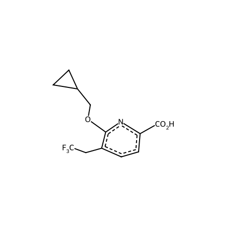 O=C(O)c1ccc(CC(F)(F)F)c(OCC2CC2)n1